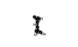 N#Cc1ccc(-c2cn(-c3ccc(NCc4ccc(-c5cn(-c6ccccc6)c6nc[nH]c(=O)c56)cc4)cc3)c3nc[nH]c(=O)c23)cc1